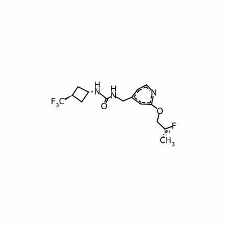 C[C@@H](F)COc1cc(CNC(=O)N[C@H]2C[C@H](C(F)(F)F)C2)ccn1